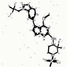 COc1nc(N[C@@H]2CCN(S(C)(=O)=O)CC2(F)F)nn2ccc(-c3ccc4nnn(CC(C)(F)F)c4c3)c12